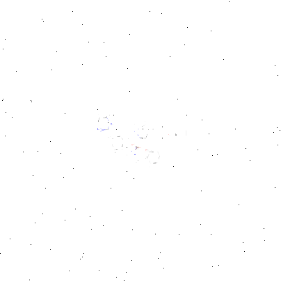 CC(=O)CCc1cccc(CN(Cc2ccc(-c3ncccn3)cc2)S(=O)(=O)c2ccccn2)c1